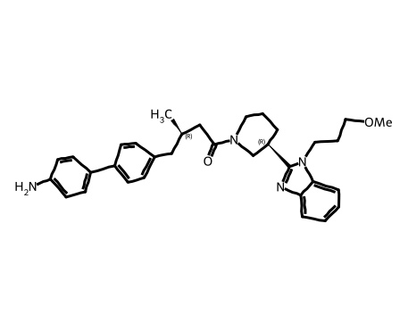 COCCCn1c([C@@H]2CCCN(C(=O)C[C@H](C)Cc3ccc(-c4ccc(N)cc4)cc3)C2)nc2ccccc21